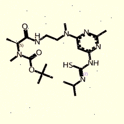 Cc1nc(N/C(S)=N/C(C)C)cc(N(C)CCNC(=O)[C@H](C)N(C)C(=O)OC(C)(C)C)n1